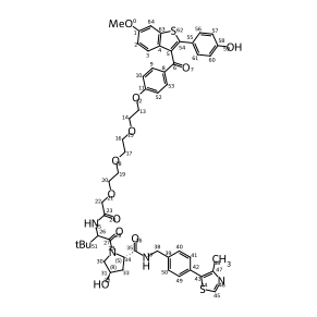 COc1ccc2c(C(=O)c3ccc(OCCOCCOCCOCC(=O)NC(C(=O)N4C[C@H](O)C[C@H]4C(=O)NCc4ccc(-c5scnc5C)cc4)C(C)(C)C)cc3)c(-c3ccc(O)cc3)sc2c1